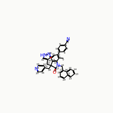 Cc1c(-c2ccc(C#N)cc2)ccc2c1N(Cc1cccc3ccccc13)C(=O)C2(Cc1ccncc1)Cc1cn[nH]c1